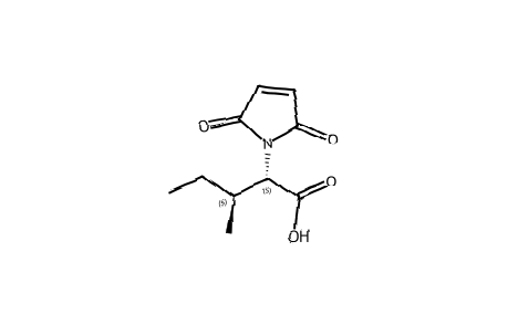 CC[C@H](C)[C@@H](C(=O)O)N1C(=O)C=CC1=O